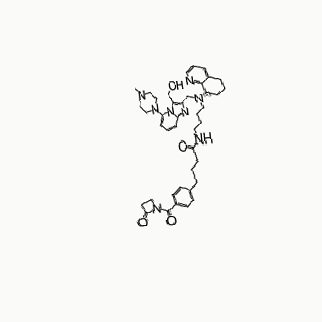 CN1CCN(c2cccc3nc(CN(CCCCNC(=O)CCCc4ccc(C(=O)N5CCC5=O)cc4)[C@H]4CCCc5cccnc54)c(CO)n23)CC1